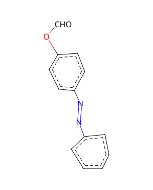 O=COc1ccc(/N=N/c2ccccc2)cc1